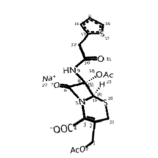 CC(=O)OCC1=C(C(=O)[O-])N2C(=O)[C@](NC(=O)Cc3cccs3)(OC(C)=O)[C@H]2SC1.[Na+]